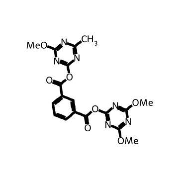 COc1nc(C)nc(OC(=O)c2cccc(C(=O)Oc3nc(OC)nc(OC)n3)c2)n1